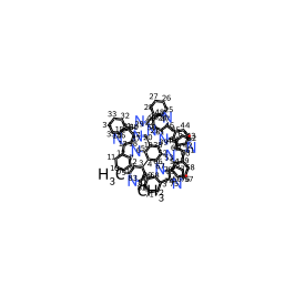 Cc1cc(-c2c(-n3c4ccccc4c4ncccc43)c(-c3nc(-c4ccccc4)nc(-c4ccccc4)n3)c(-n3c4ccccc4c4ncccc43)c(-n3c4ccccc4c4ncccc43)c2-n2c3ccccc3c3ncccc32)cc(C)n1